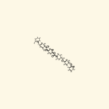 CC1CCCCN1Cc1ccc(C(=O)Nc2ccc(OC(=O)N3CCC(COc4ccc(Oc5ccccn5)cc4)CC3)nc2)cc1